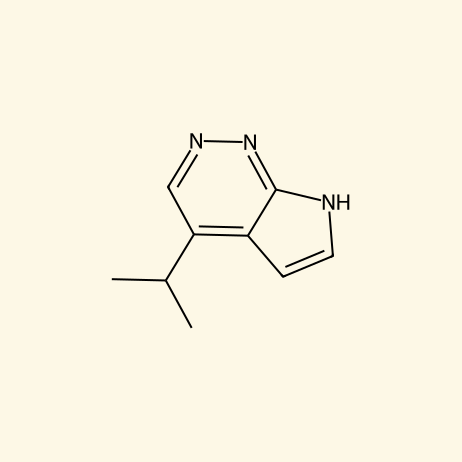 CC(C)c1cnnc2[nH]ccc12